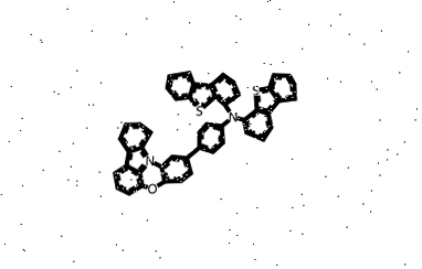 c1ccc2c(c1)sc1c(N(c3ccc(-c4ccc5c(c4)-n4c6ccccc6c6cccc(c64)O5)cc3)c3cccc4c3sc3ccccc34)cccc12